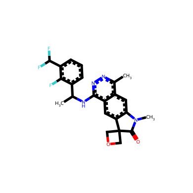 Cc1nnc(NC(C)c2cccc(C(F)F)c2F)c2cc3c(cc12)N(C)C(=O)C31COC1